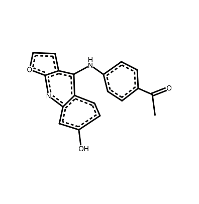 CC(=O)c1ccc(Nc2c3ccc(O)cc3nc3occc23)cc1